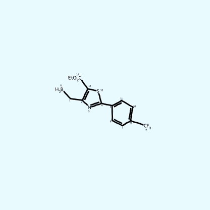 BCc1nc(-c2ccc(C(F)(F)F)cc2)sc1C(=O)OCC